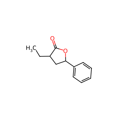 CCC1CC(c2ccccc2)OC1=O